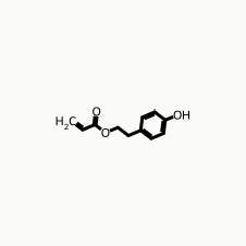 C=CC(=O)OCCc1c[c]c(O)cc1